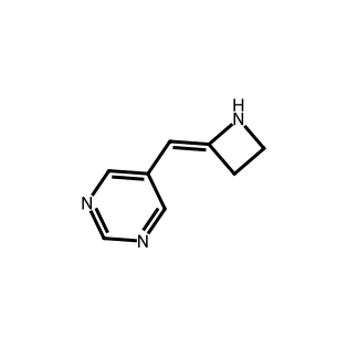 C(=C1CCN1)c1cncnc1